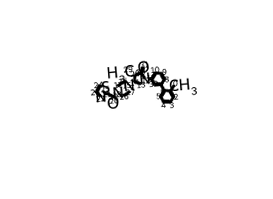 Cc1ccccc1-c1cccc(N2CC(N3CCN(C(=O)c4nccs4)CC3)C(C)C2=O)c1